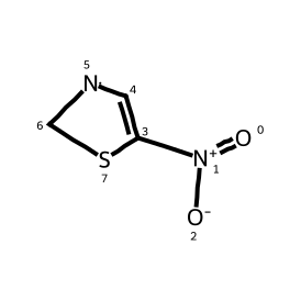 O=[N+]([O-])C1=C[N]CS1